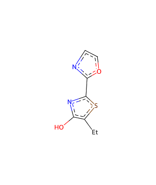 CCc1sc(-c2ncco2)nc1O